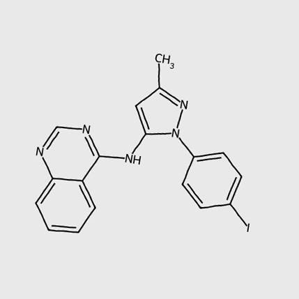 Cc1cc(Nc2ncnc3ccccc23)n(-c2ccc(I)cc2)n1